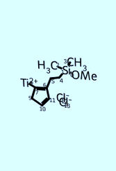 CO[Si](C)(C)CCC1=[C]([Ti+2])CC=C1.[Cl-].[Cl-]